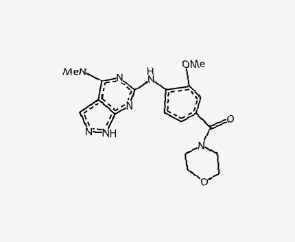 CNc1nc(Nc2ccc(C(=O)N3CCOCC3)cc2OC)nc2[nH]ncc12